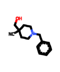 N#CC1(CO)CCN(Cc2ccccc2)CC1